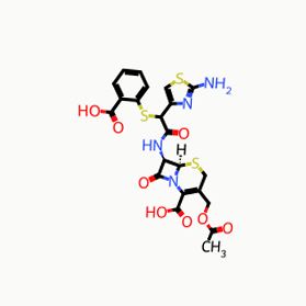 CC(=O)OCC1=C(C(=O)O)N2C(=O)[C@@H](NC(=O)C(Sc3ccccc3C(=O)O)c3csc(N)n3)[C@H]2SC1